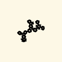 CC1(C)c2ccccc2-c2cc3c4cc(-c5ccc6c(c5)c5cc7c(cc5n6-c5ccccc5)C(C)(C)C(C)(C)C7(C)C)ccc4n(-c4cccc(-c5nc(-c6ccccc6)nc(-c6ccccc6)n5)c4)c3cc21